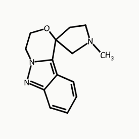 CN1CCC2(C1)OCCn1nc3ccccc3c12